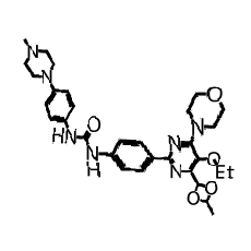 CCOc1c(C2OC(C)O2)nc(-c2ccc(NC(=O)Nc3ccc(N4CCN(C)CC4)cc3)cc2)nc1N1CCOCC1